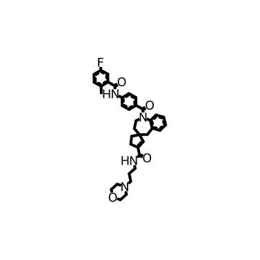 Cc1ccc(F)cc1C(=O)Nc1ccc(C(=O)N2CCC3(C=C(C(=O)NCCCN4CCOCC4)CC3)Cc3ccccc32)cc1